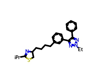 CCn1nc(-c2ccccc2)c(-c2cccc(CCCCC3CSC(C(C)C)=N3)c2)n1